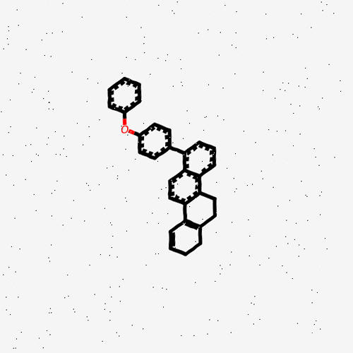 C1=CC2=C(CC1)CCc1c2ccc2c(-c3ccc(Oc4ccccc4)cc3)cccc12